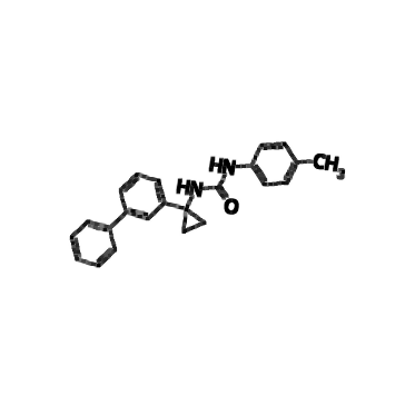 Cc1ccc(NC(=O)NC2(c3cccc(-c4ccccc4)c3)CC2)cc1